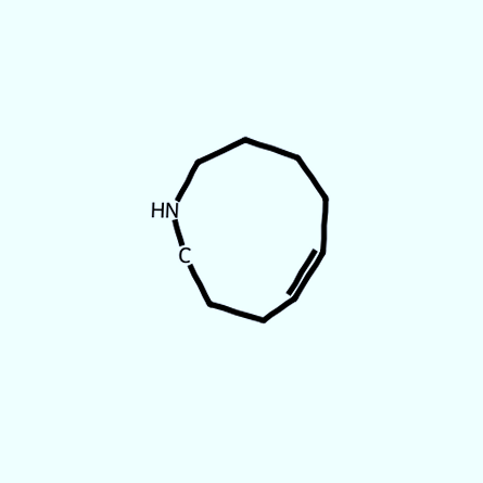 C1=C\CCCNCCCC/1